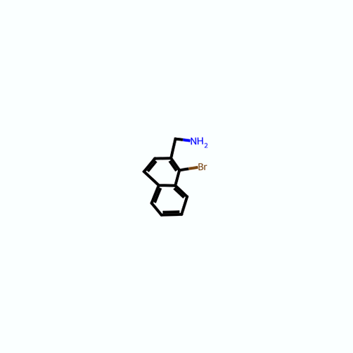 NCc1ccc2ccccc2c1Br